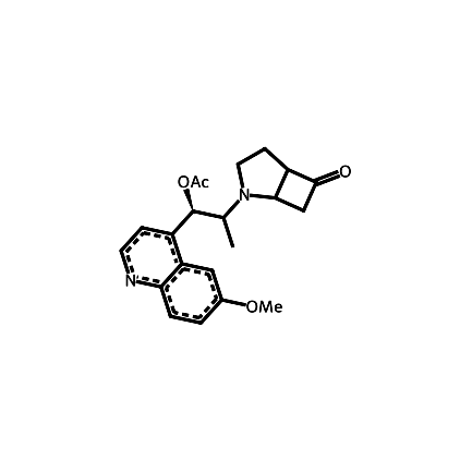 COc1ccc2nccc([C@@H](OC(C)=O)C(C)N3CCC4C(=O)CC43)c2c1